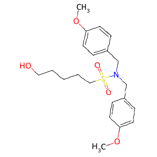 COc1ccc(CN(Cc2ccc(OC)cc2)S(=O)(=O)CCCCCO)cc1